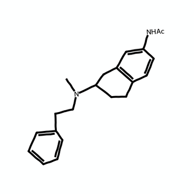 CC(=O)Nc1ccc2c(c1)CC(N(C)CCc1ccccc1)CC2